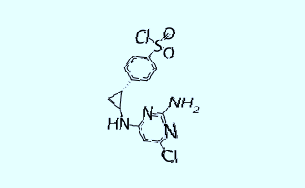 Nc1nc(Cl)cc(N[C@H]2C[C@@H]2c2ccc(S(=O)(=O)Cl)cc2)n1